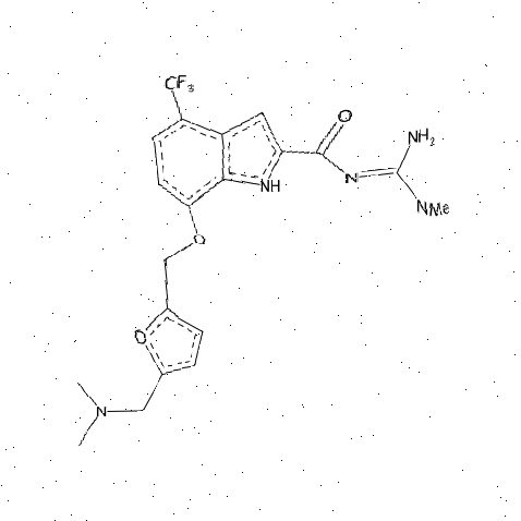 CNC(N)=NC(=O)c1cc2c(C(F)(F)F)ccc(OCc3ccc(CN(C)C)o3)c2[nH]1